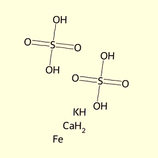 O=S(=O)(O)O.O=S(=O)(O)O.[CaH2].[Fe].[KH]